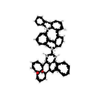 c1ccc(-c2cc3ccccc3c3nc(-n4c5cccc6c7cccc8c9ccccc9n(c9cccc4c9c65)c78)nc(-c4ccccc4)c23)cc1